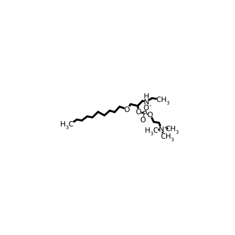 CCCCCCCCCCOCC(CNCC)OP(=O)([O-])OCC[N+](C)(C)C